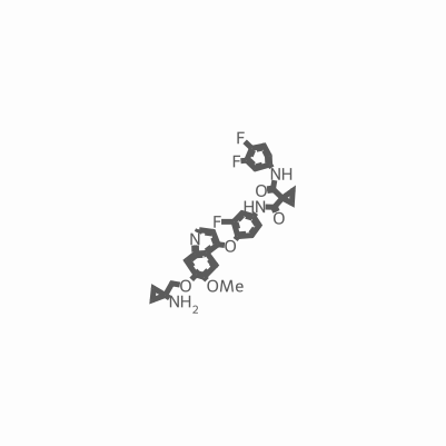 COc1cc2c(Oc3ccc(NC(=O)C4(C(=O)Nc5ccc(F)c(F)c5)CC4)cc3F)ccnc2cc1OCC1(N)CC1